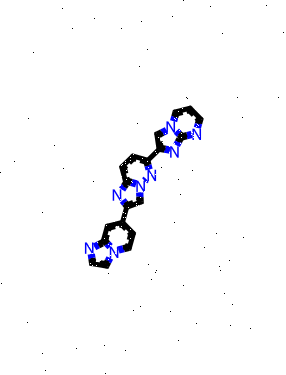 c1cnc2nc(-c3ccc4nc(-c5ccn6ccnc6c5)cn4n3)cn2c1